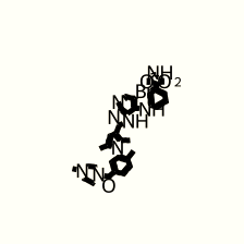 Cc1ccc(C(=O)N2CCN(C)CC2)cc1-n1c(C)cc(-c2nc3ncc(Br)c(Nc4cccc(S(N)(=O)=O)c4)c3[nH]2)c1C